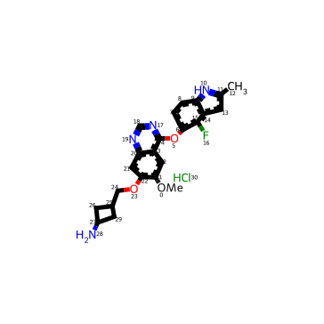 COc1cc2c(Oc3ccc4[nH]c(C)cc4c3F)ncnc2cc1OCC1CC(N)C1.Cl